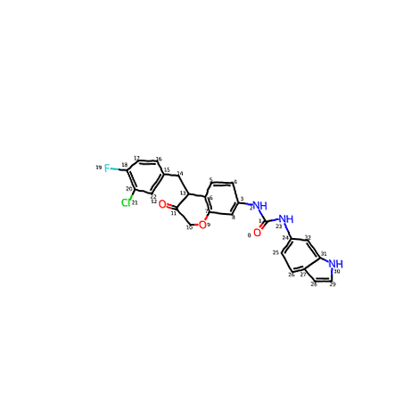 O=C(Nc1ccc2c(c1)OCC(=O)C2Cc1ccc(F)c(Cl)c1)Nc1ccc2cc[nH]c2c1